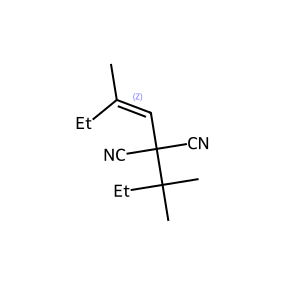 CC/C(C)=C\C(C#N)(C#N)C(C)(C)CC